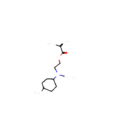 C=C(C)C(=O)OCCN(C(=O)O)C1CCC(C)CC1